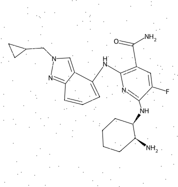 NC(=O)c1cc(F)c(N[C@@H]2CCCC[C@@H]2N)nc1Nc1cccc2nn(CC3CC3)cc12